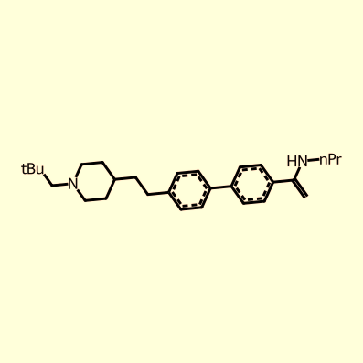 C=C(NCCC)c1ccc(-c2ccc(CCC3CCN(CC(C)(C)C)CC3)cc2)cc1